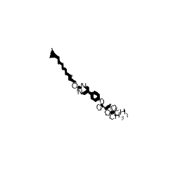 CC1(C)OC[C@H](C(=O)Oc2ccc(-c3cnc(OCCCCCCCCCC4CC4)nc3)cc2)O1